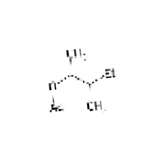 [CH2]C(=O)OC(C)C(C)CC